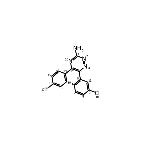 Nc1nnc(-c2cccc(Cl)c2)c(-c2ccc(F)cc2)n1